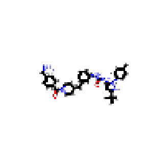 Cc1ccc(-n2nc(C(C)(C)C)cc2NC(=O)Nc2cccc(CC3CCN(C(=O)c4ccc(CN)cc4)CC3)c2)cc1